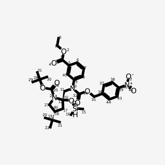 CCOC(=O)c1cccc(N(C[C@@]2(O[SiH](C)C)C[C@H](C(C)(C)C)CN2C(=O)OC(C)(C)C)C(=O)OCc2ccc([N+](=O)[O-])cc2)c1